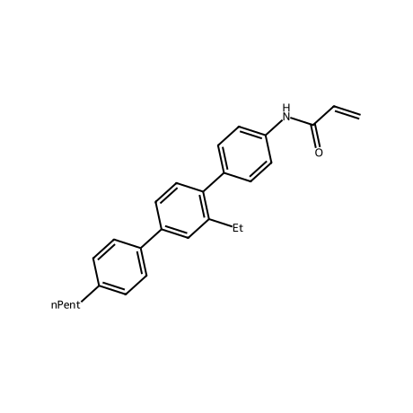 C=CC(=O)Nc1ccc(-c2ccc(-c3ccc(CCCCC)cc3)cc2CC)cc1